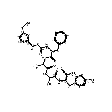 CC(NC(=O)C(C)NC(=O)C(Cc1ccccc1)NC(=O)CNc1ncc(CO)s1)C(=O)NC(Cc1ccc(O)cc1)C(N)=O